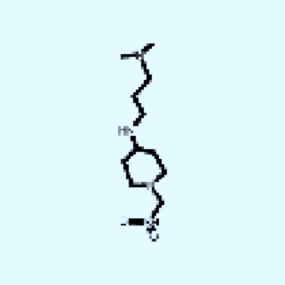 CN(C)CCCNC1CCN(C[SH](=O)=O)CC1